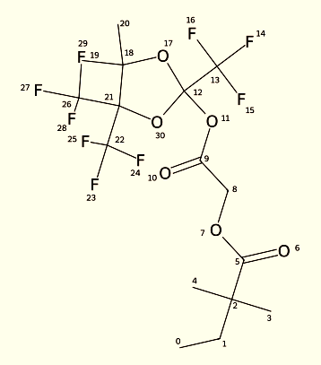 CCC(C)(C)C(=O)OCC(=O)OC1(C(F)(F)F)OC(C)(C)C(C(F)(F)F)(C(F)(F)F)O1